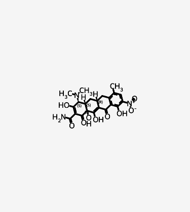 Cc1cc([N+](=O)[O-])c(O)c2c1C[C@H]1C[C@H]3[C@H](N(C)C)C(O)=C(C(N)=O)C(=O)[C@@]3(O)C(O)=C1C2=O